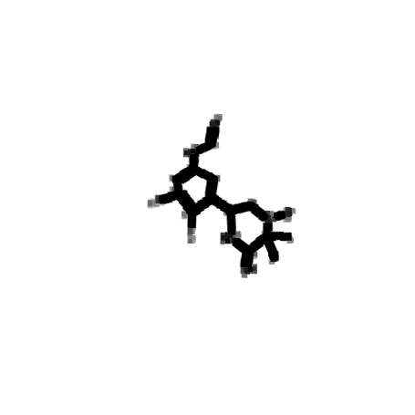 CC1(C)C(=N)NC(c2cc(NC=O)cc(F)c2F)C[S+]1[O-]